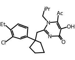 CCc1ccc(C2(Cc3nc(=O)c(O)c(C(C)=O)n3CC(C)C)CCCC2)cc1Cl